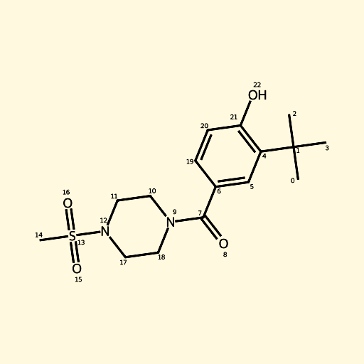 CC(C)(C)c1cc(C(=O)N2CCN(S(C)(=O)=O)CC2)ccc1O